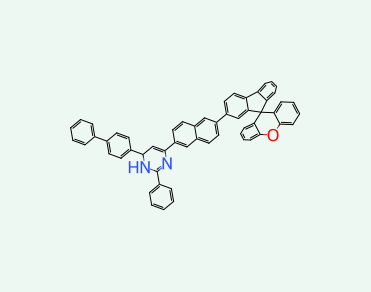 C1=C(c2ccc3cc(-c4ccc5c(c4)C4(c6ccccc6Oc6ccccc64)c4ccccc4-5)ccc3c2)N=C(c2ccccc2)NC1c1ccc(-c2ccccc2)cc1